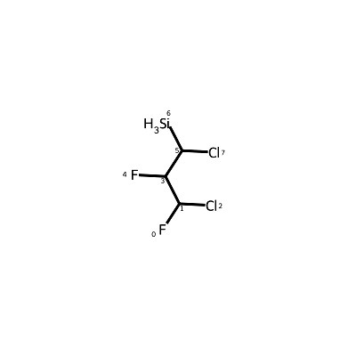 FC(Cl)C(F)C([SiH3])Cl